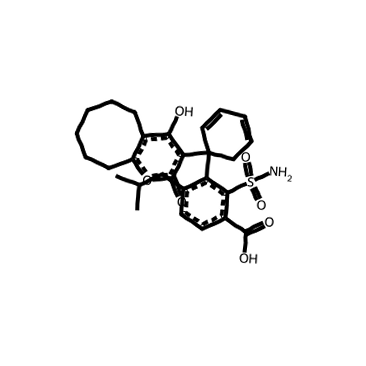 CC(C)Cc1ccc(C(=O)O)c(S(N)(=O)=O)c1C1(c2c(O)c3c(oc2=O)CCCCCC3)C=CC=CC1